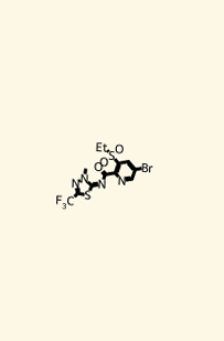 CCS(=O)(=O)c1cc(Br)cnc1C(=O)N=c1sc(C(F)(F)F)nn1C